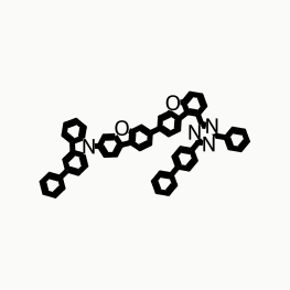 c1ccc(-c2ccc(-c3nc(-c4ccccc4)nc(-c4cccc5oc6cc(-c7ccc8c(c7)oc7cc(-n9c%10ccccc%10c%10cc(-c%11ccccc%11)ccc%109)ccc78)ccc6c45)n3)cc2)cc1